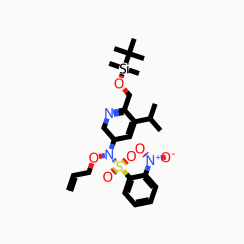 C=CCON(C1C=C(C(C)C)C(CO[Si](C)(C)C(C)(C)C)=NC1)S(=O)(=O)c1ccccc1[N+](=O)[O-]